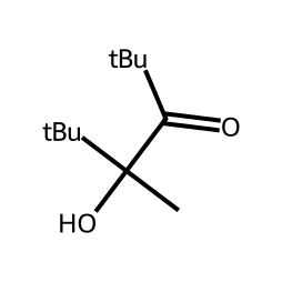 CC(C)(C)C(=O)C(C)(O)C(C)(C)C